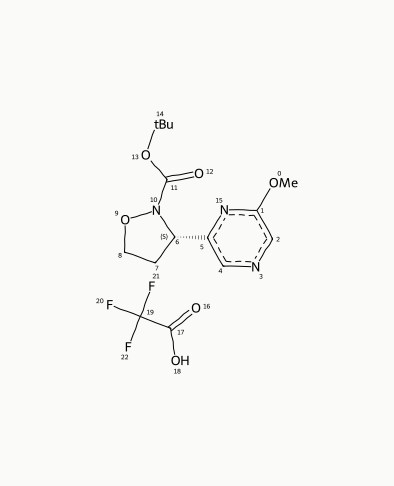 COc1cncc([C@@H]2CCON2C(=O)OC(C)(C)C)n1.O=C(O)C(F)(F)F